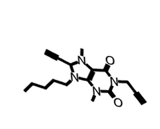 C#CCn1c(=O)c2c(n(C)c1=O)N(CCCCC)C(C#C)N2C